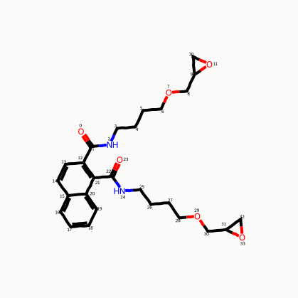 O=C(NCCCCOCC1CO1)c1ccc2ccccc2c1C(=O)NCCCCOCC1CO1